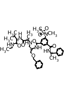 CCNC(=O)[C@@H](NC(=O)[C@H](C)NC[C@H](COCc1ccccc1)NC(=O)c1cc(C(=O)N[C@H](C)c2ccccc2)cc(N(C)S(C)(=O)=O)c1)C(C)C